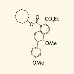 CCOC(=O)c1ccc2c(c1C(=O)OC1CCCCCCC1)C=CC(c1ccc(OC)cc1)C2OC